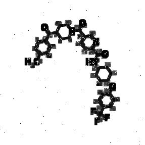 Cc1ccc(C(=O)C2CCN(C(=O)c3ccc(C(=O)N[C@H]4CC[C@@H](Oc5ccc(C(F)(F)F)cc5)CC4)nc3)CC2)cc1